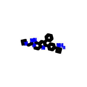 NC1(c2ccc(-c3nc4ccn5c(CN6CCC6)nnc5c4cc3-c3ccccc3)cc2)CCC1